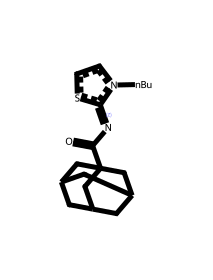 CCCCn1ccs/c1=N\C(=O)C12CC3CC(CC(C3)C1)C2